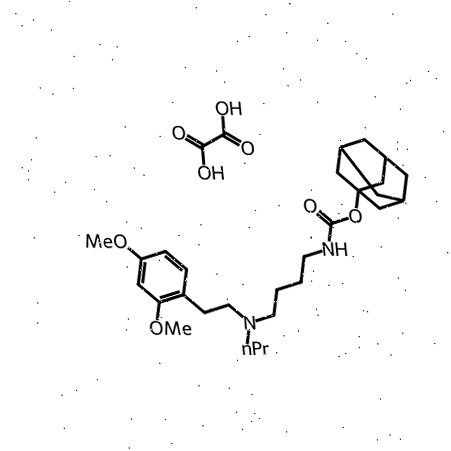 CCCN(CCCCNC(=O)OC12CC3CC(CC(C3)C1)C2)CCc1ccc(OC)cc1OC.O=C(O)C(=O)O